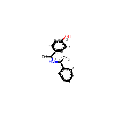 CCC(NC(C)c1ccccc1)c1ccc(O)cc1